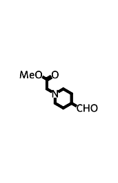 COC(=O)CN1CCC(C=O)CC1